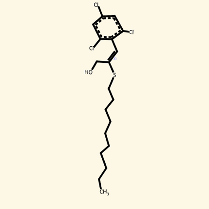 CCCCCCCCCCS/C(=C/c1c(Cl)cc(Cl)cc1Cl)CO